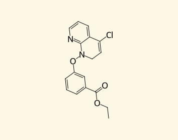 CCOC(=O)c1cccc(ON2CC=C(Cl)c3cccnc32)c1